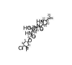 O=C(COc1ccc(Cl)c(F)c1)NC12CCC(NC(=O)c3ccc(C4CC4)cn3)(CC1)CC2O